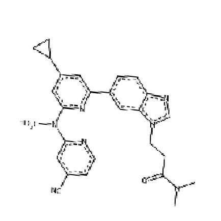 CN(C)C(=O)CCn1cnc2ccc(-c3cc(C4CC4)cc(N(C(=O)O)c4cc(C#N)ccn4)n3)cc21